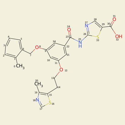 Cc1ccccc1COc1cc(OCCc2scnc2C)cc(C(=O)Nc2ncc(C(=O)O)s2)c1